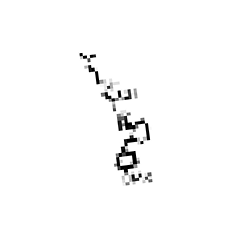 COc1ccc(/C=C2\CCCC\C2=N/OC[C@@H](O)CNCCCN(C)C)cc1